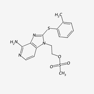 Cc1ccccc1Sc1nc2c(N)nccc2n1CCOS(C)(=O)=O